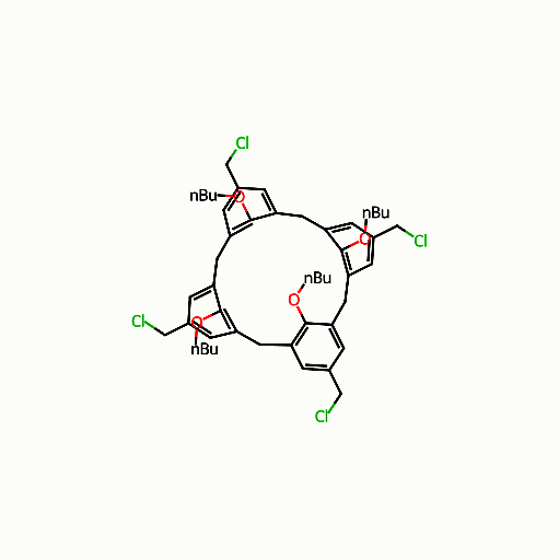 CCCCOc1c2cc(CCl)cc1Cc1cc(CCl)cc(c1OCCCC)Cc1cc(CCl)cc(c1OCCCC)Cc1cc(CCl)cc(c1OCCCC)C2